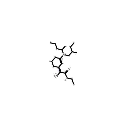 CCCC(C)N(CC(C)CC)C1=C/C(=C(/N)C(=O)OCC)CCC1